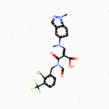 CN(/C=C(/C(=O)O)C(=O)N(C=O)Cc1cccc(C(F)(F)F)c1Cl)c1ccc2c(cnn2C)c1